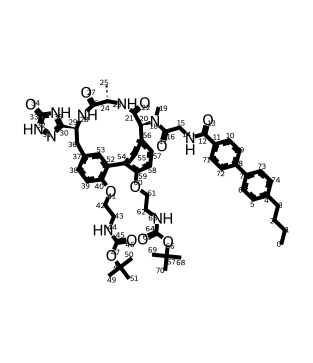 CCCCc1ccc(-c2ccc(C(=O)NCC(=O)N(C)[C@@H]3C(=O)N[C@@H](C)C(=O)N[C@H](c4n[nH]c(=O)[nH]4)Cc4ccc(OCCNC(=O)OC(C)(C)C)c(c4)-c4cc3ccc4OCCNC(=O)OC(C)(C)C)cc2)cc1